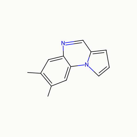 Cc1cc2ncc3cccn3c2cc1C